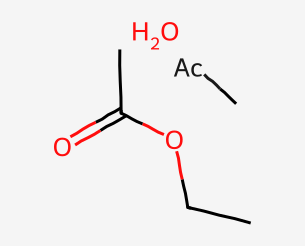 CC(C)=O.CCOC(C)=O.O